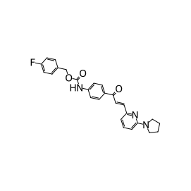 O=C(Nc1ccc(C(=O)/C=C/c2cccc(N3CCCC3)n2)cc1)OCc1ccc(F)cc1